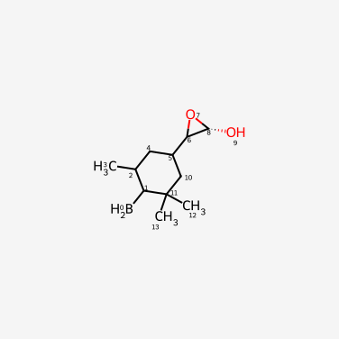 BC1C(C)CC(C2O[C@@H]2O)CC1(C)C